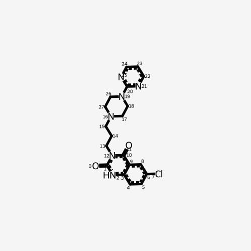 O=c1[nH]c2ccc(Cl)cc2c(=O)n1CCCN1CCN(c2ncccn2)CC1